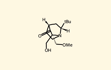 COC[C@]1(CO)C(=O)[C@@H]2CCN1[C@@H](C(C)(C)C)C2